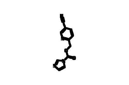 N#Cc1ccc(COC(=O)n2ccnc2)nc1